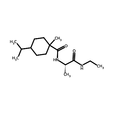 CCNC(=O)[C@H](C)NC(=O)C1(C)CCC(C(C)C)CC1